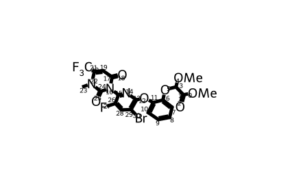 COC(=O)C(OC)Oc1ccccc1Oc1nc(-n2c(=O)cc(C(F)(F)F)n(C)c2=O)c(F)cc1Br